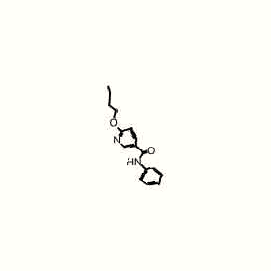 CCCCOc1ccc(C(=O)Nc2ccccc2)cn1